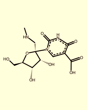 CNC[C@@]1(n2cc(C(=O)O)c(=O)[nH]c2=O)O[C@H](CO)[C@@H](O)[C@H]1O